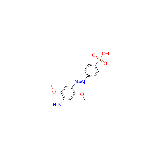 COc1cc(N=Nc2ccc(S(=O)(=O)O)cc2)c(OC)cc1N